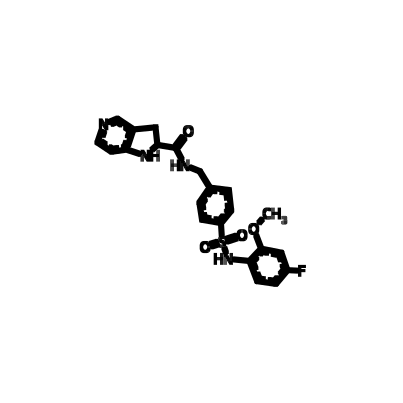 COc1cc(F)ccc1NS(=O)(=O)c1ccc(CNC(=O)C2Cc3cnccc3N2)cc1